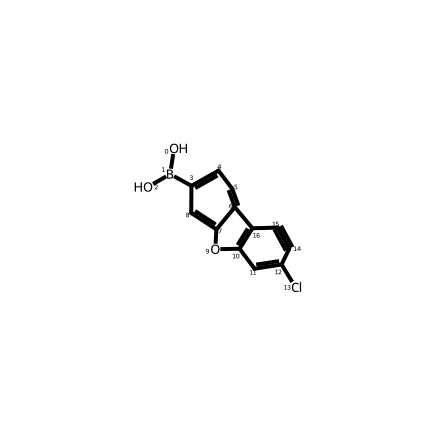 OB(O)c1ccc2c(c1)oc1cc(Cl)c#cc12